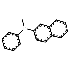 CP(c1ccccc1)c1ccc2ccccc2c1